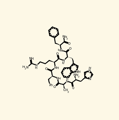 CC(C)C[C@H](NC(=O)[C@H](C)NC(=O)[C@@H](N)Cc1c[nH]cn1)C(=O)N[C@@H](CCCNC(=N)N)C(=O)N[C@@H](Cc1c[nH]c2ccccc12)C(=O)N[C@@H](Cc1ccccc1)C(N)=O